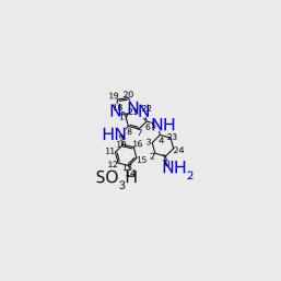 NC1CCC(Nc2cc(Nc3ccc(S(=O)(=O)O)cc3)c3nccn3n2)CC1